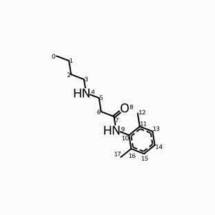 CCCCNCCC(=O)Nc1c(C)cccc1C